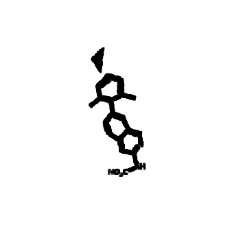 C1CC1.Cc1cccc(C)c1-c1ccc2cc(NC(=O)O)ncc2c1